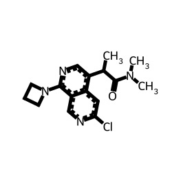 CC(C(=O)N(C)C)c1cnc(N2CCC2)c2cnc(Cl)cc12